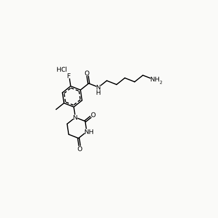 Cc1cc(F)c(C(=O)NCCCCCN)cc1N1CCC(=O)NC1=O.Cl